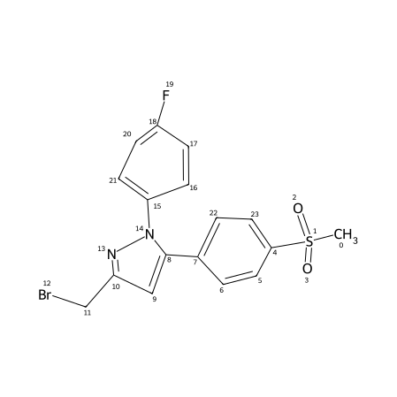 CS(=O)(=O)c1ccc(-c2cc(CBr)nn2-c2ccc(F)cc2)cc1